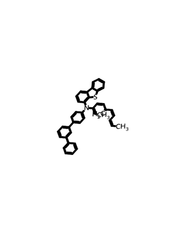 C=C(/C=C\C=C/C)/C=C\C(=C/C)N(c1ccc(-c2cccc(-c3ccccc3)c2)cc1)c1cccc2c1sc1ccccc12